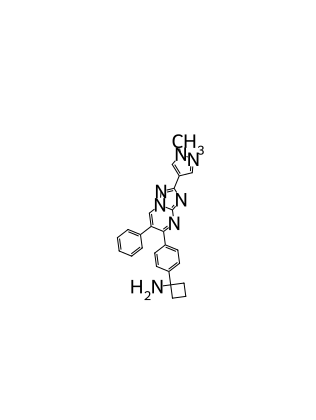 Cn1cc(-c2nc3nc(-c4ccc(C5(N)CCC5)cc4)c(-c4ccccc4)cn3n2)cn1